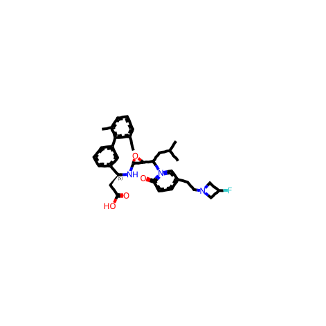 Cc1cccc(C)c1-c1cccc([C@H](CC(=O)O)NC2OC2C(CC(C)C)n2cc(CCN3CC(F)C3)ccc2=O)c1